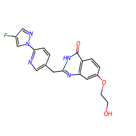 O=c1[nH]c(Cc2ccc(-n3cc(F)cn3)nc2)nc2cc(OCCO)ccc12